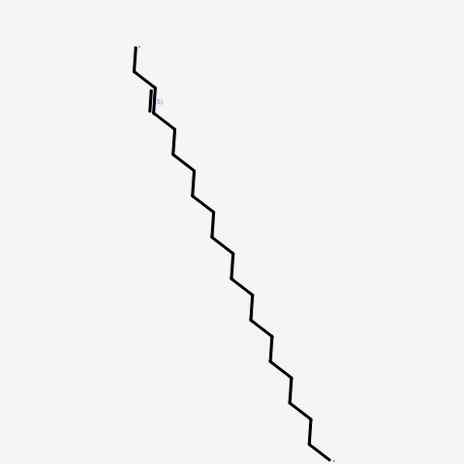 [CH2]C/C=C/CCCCCCCCCCCCCCCC[CH2]